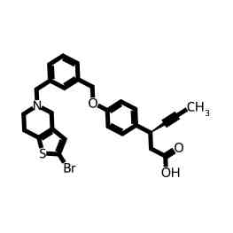 CC#C[C@@H](CC(=O)O)c1ccc(OCc2cccc(CN3CCc4sc(Br)cc4C3)c2)cc1